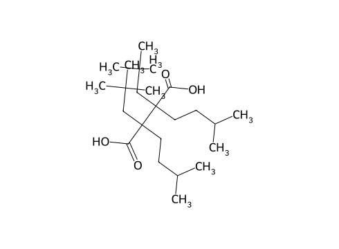 CC(C)CCC(CC(C)(C)C)(C(=O)O)C(CCC(C)C)(CC(C)(C)C)C(=O)O